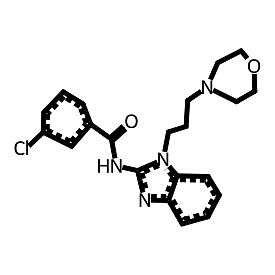 O=C(Nc1nc2ccccc2n1CCCN1CCOCC1)c1cccc(Cl)c1